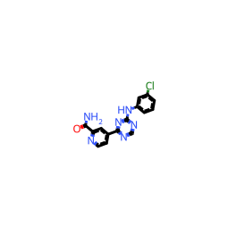 NC(=O)c1cc(-c2ncnc(Nc3cccc(Cl)c3)n2)ccn1